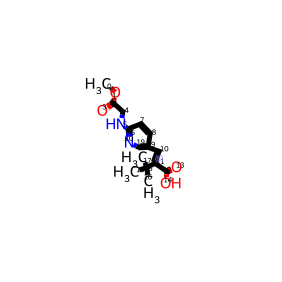 COC(=O)CNc1ccc(/C=C(/C(=O)O)C(C)(C)C)cn1